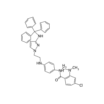 CN(C)c1cc(Cl)ccc1C(=O)Nc1ccc(NCCn2ccc(NC(c3ccccc3)(c3ccccc3)c3ccccc3)n2)cc1